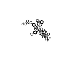 COc1ccc(C(NC(=O)C(Cc2cccc(Cl)c2)NC(=O)c2ccc(OCC(=O)O)cc2)C(=O)N[C@H](C(=O)C(F)(F)C(=O)NCC(F)(F)F)C(C)C)cc1